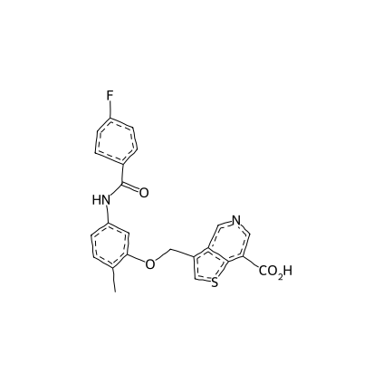 Cc1ccc(NC(=O)c2ccc(F)cc2)cc1OCc1csc2c(C(=O)O)cncc12